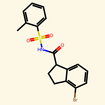 Cc1ccccc1S(=O)(=O)NC(=O)C1CCc2c(Br)cccc21